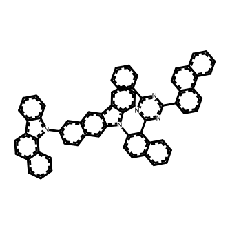 c1ccc(-c2nc(-c3c(-n4c5ccccc5c5cc6cc(-n7c8ccccc8c8ccc9ccccc9c87)ccc6cc54)ccc4ccccc34)nc(-c3cccc4c3ccc3ccccc34)n2)cc1